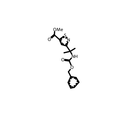 COC(=O)c1cc(C(C)(C)NC(=O)OCc2ccccc2)ns1